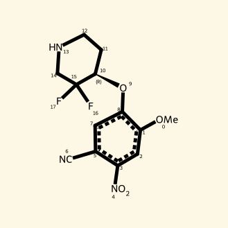 COc1cc([N+](=O)[O-])c(C#N)cc1O[C@@H]1CCNCC1(F)F